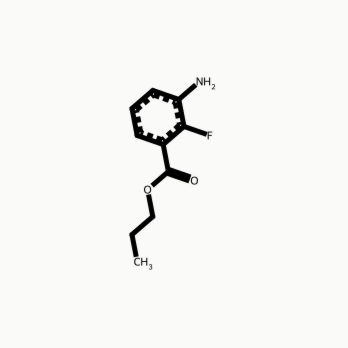 CCCOC(=O)c1cccc(N)c1F